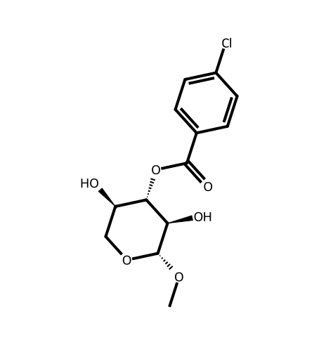 CO[C@@H]1OC[C@@H](O)[C@H](OC(=O)c2ccc(Cl)cc2)[C@H]1O